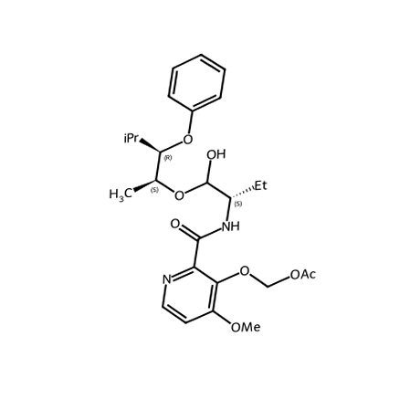 CC[C@H](NC(=O)c1nccc(OC)c1OCOC(C)=O)C(O)O[C@@H](C)[C@H](Oc1ccccc1)C(C)C